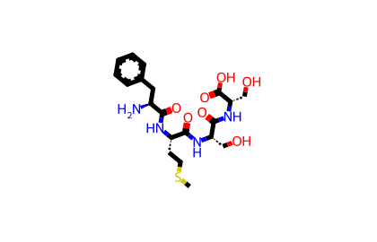 CSCC[C@H](NC(=O)[C@@H](N)Cc1ccccc1)C(=O)N[C@@H](CO)C(=O)N[C@@H](CO)C(=O)O